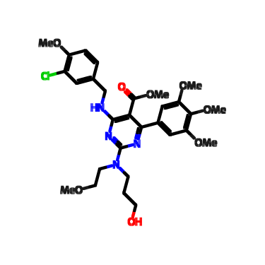 COCCN(CCCO)c1nc(NCc2ccc(OC)c(Cl)c2)c(C(=O)OC)c(-c2cc(OC)c(OC)c(OC)c2)n1